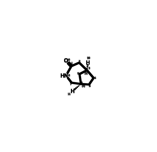 O=C1C[C@H]2CC[C@@H](CN1)C2